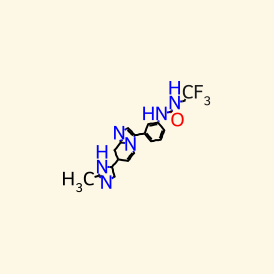 CC1=NCC(C2C=Cn3c(-c4cccc(NC(=O)NCC(F)(F)F)c4)cnc3C2)N1